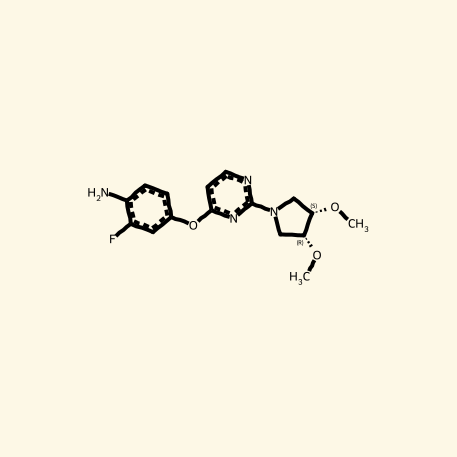 CO[C@H]1CN(c2nccc(Oc3ccc(N)c(F)c3)n2)C[C@H]1OC